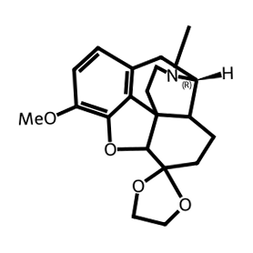 COc1ccc2c3c1OC1C4(CCC5[C@@H](C2)N(C)CCC351)OCCO4